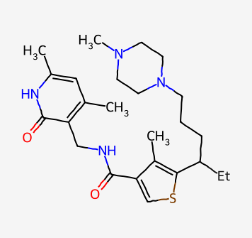 CCC(CCCN1CCN(C)CC1)c1scc(C(=O)NCc2c(C)cc(C)[nH]c2=O)c1C